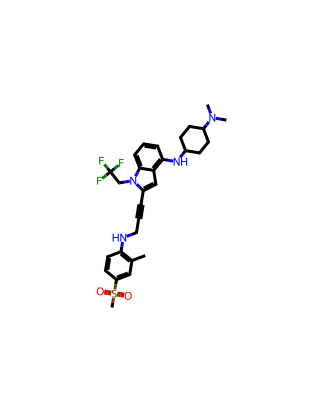 Cc1cc(S(C)(=O)=O)ccc1NCC#Cc1cc2c(NC3CCC(N(C)C)CC3)cccc2n1CC(F)(F)F